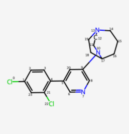 Clc1ccc(-c2cncc(N3CCN4CCCC3CC4)c2)c(Cl)c1